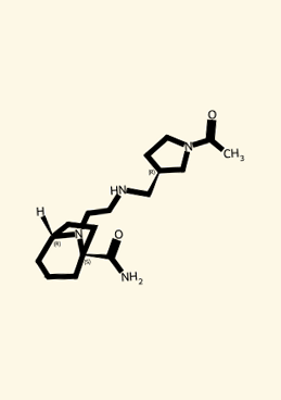 CC(=O)N1CC[C@H](CNCCN2[C@@H]3C[CH]C[C@@]2(C(N)=O)CC3)C1